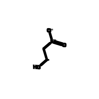 O=[N+]([O-])C[CH]O